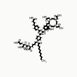 CCCCCCCCCCC(=O)N(CCCC[C@H](NC(=O)N[C@@H](CCC(=O)O)C(=O)O)C(=O)O)N1CCN(c2nc(Nc3ccc(CC4CN(CC(=O)O)CCN(CC(=O)O)CCN(CC(=O)O)CCN4CC(=O)O)cc3)nc(N3CCC(CCCC(=O)O)CC3)n2)CC1